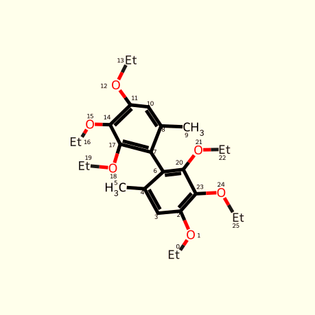 CCOc1cc(C)c(-c2c(C)cc(OCC)c(OCC)c2OCC)c(OCC)c1OCC